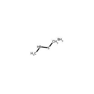 B.CBSC